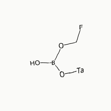 OB([O][Ta])OCF